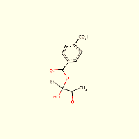 CCC(O)(OC(=O)c1ccc(C(=O)O)cc1)C(C)O